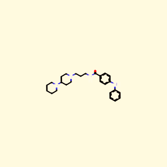 O=C(NCCCN1CCC(N2CCCCC2)CC1)c1ccc(Nc2ccccc2)cc1